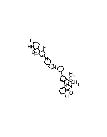 CC1(C)c2cc(C3CCCC(N4CCC5(CCN(c6cc(F)c(C7CCC(=O)NC7=O)c(F)c6)CC5)C4)C3)ccc2-n2c1nc(=O)c1c(Cl)cccc12